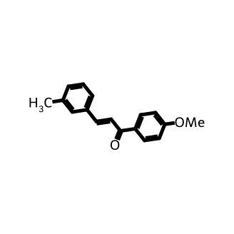 COc1ccc(C(=O)/C=C/c2cccc(C)c2)cc1